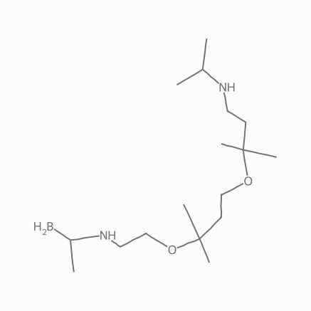 BC(C)NCCOC(C)(C)CCOC(C)(C)CCNC(C)C